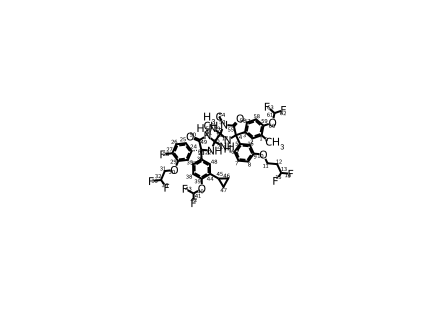 Cc1cc(C2(c3cccc(OCCC(F)F)c3)NC(N)(C3(N)N[C@@](c4ccc(F)c(OCC(F)F)c4)(c4ccc(OC(F)F)c(C5CC5)c4)C(=O)N3C)N(C)C2=O)ccc1OC(F)F